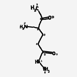 BBC(=O)CCC(N)C(C)=O